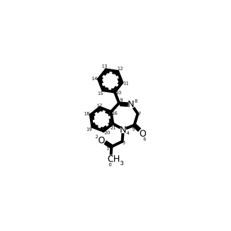 CC(=O)CN1C(=O)CN=C(c2ccccc2)c2ccccc21